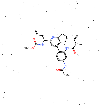 C=CC[C@H](NC(=O)OC(C)(C)C)c1cc(-c2ccc(NC(=O)OC)cc2NC(=O)[C@@H](C)C=C)c2c(n1)CCC2